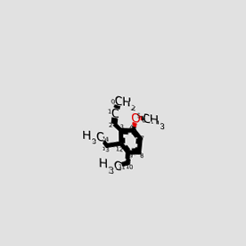 C=C=Cc1c(OC)ccc(CC)c1CC